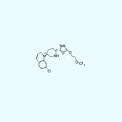 FC(F)(F)OCCOc1nnc([C@H]2CC[C@H](N3CC=Cc4ccc(Cl)cc43)CN2)o1